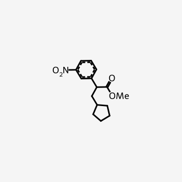 COC(=O)C(CC1CCCC1)c1cccc([N+](=O)[O-])c1